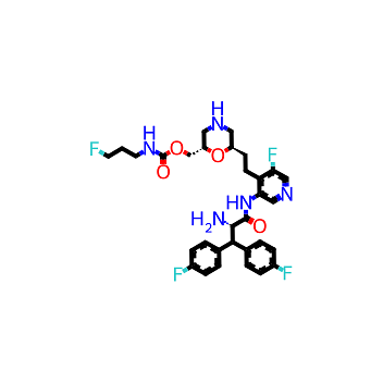 N[C@H](C(=O)Nc1cncc(F)c1CC[C@@H]1CNC[C@@H](COC(=O)NCCCF)O1)C(c1ccc(F)cc1)c1ccc(F)cc1